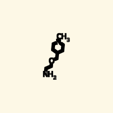 CN1CCC(COCCN)CC1